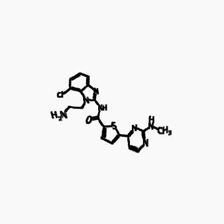 CNc1nccc(-c2ccc(C(=O)Nc3nc4cccc(Cl)c4n3CCN)s2)n1